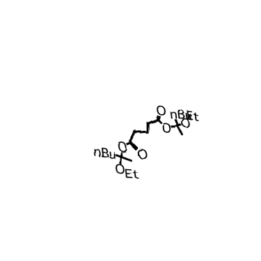 CCCCC(C)(OCC)OC(=O)CCCC(=O)OC(C)(CCCC)OCC